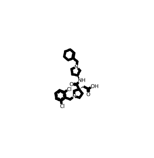 O=C(O)C[C@]1(C(=O)N[C@H]2CCN(CC3=CCCCC3)C2)CCN(Cc2c(Cl)cccc2Cl)C1